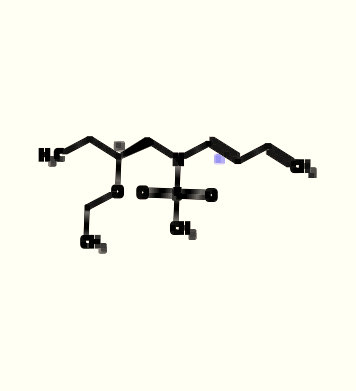 C=C/C=C/N(C[C@H](CC)OCC)S(C)(=O)=O